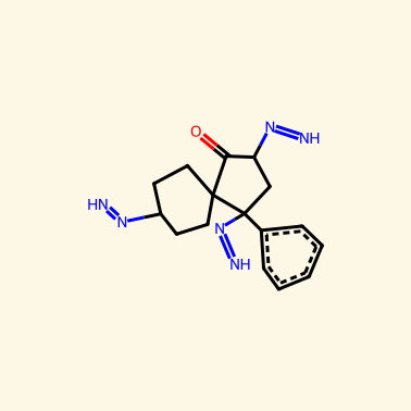 N=NC1CCC2(CC1)C(=O)C(N=N)CC2(N=N)c1ccccc1